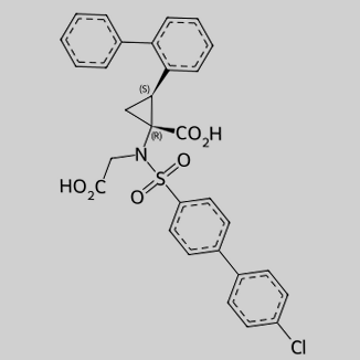 O=C(O)CN([C@]1(C(=O)O)C[C@H]1c1ccccc1-c1ccccc1)S(=O)(=O)c1ccc(-c2ccc(Cl)cc2)cc1